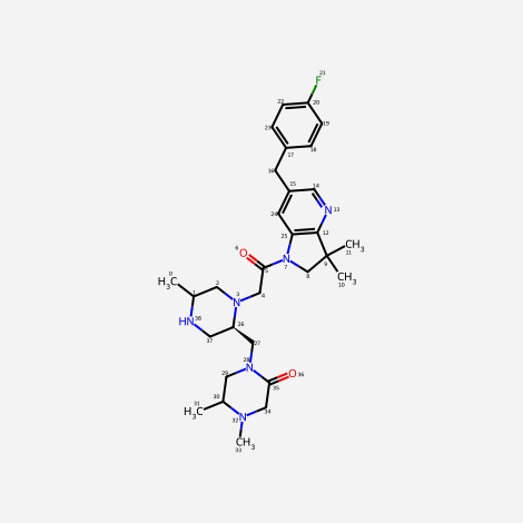 CC1CN(CC(=O)N2CC(C)(C)c3ncc(Cc4ccc(F)cc4)cc32)[C@@H](CN2CC(C)N(C)CC2=O)CN1